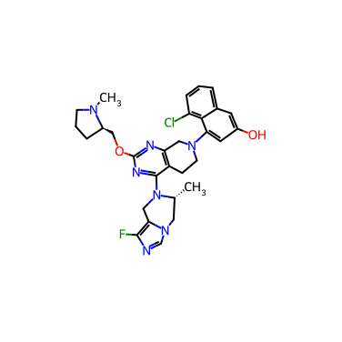 C[C@@H]1Cn2cnc(F)c2CN1c1nc(OC[C@H]2CCCN2C)nc2c1CCN(c1cc(O)cc3cccc(Cl)c13)C2